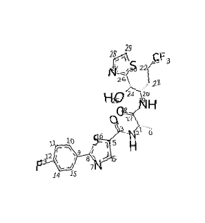 C[C@H](NC(=O)c1cnc(-c2ccc(F)cc2)s1)C(=O)N[C@@H](CCC(F)(F)F)C(O)c1nccs1